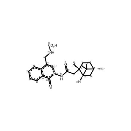 CC1(C)[C@H]2CC[C@@H](CC(=O)Nn3nc(CNC(=O)O)c4ccccc4c3=O)[C@H]1C2